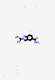 CCCC(CC)n1cc2cc(C(N)=O)ccc2n1